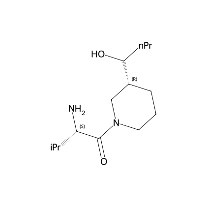 [CH2]CCC(O)[C@@H]1CCCN(C(=O)[C@@H](N)C(C)C)C1